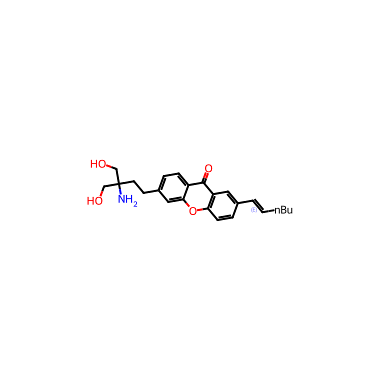 CCCC/C=C/c1ccc2oc3cc(CCC(N)(CO)CO)ccc3c(=O)c2c1